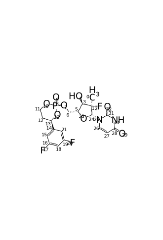 C[C@@]1(F)[C@H](O)[C@@H](CO[P@]2(=O)OCC[C@H](c3cc(F)cc(F)c3)O2)O[C@H]1n1ccc(=O)[nH]c1=O